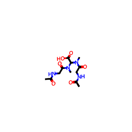 CC(=O)NCC(=O)N(C)C(C(=O)O)N(C)C(=O)CNC(C)=O